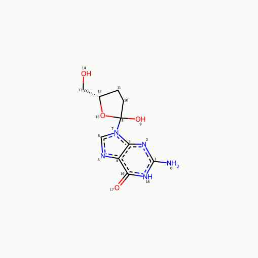 Nc1nc2c(ncn2C2(O)CC[C@@H](CO)O2)c(=O)[nH]1